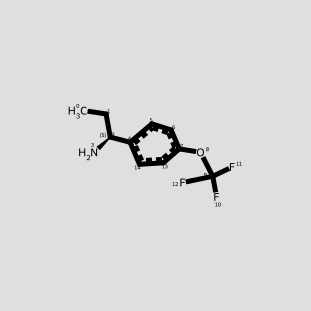 CC[C@H](N)c1ccc(OC(F)(F)F)cc1